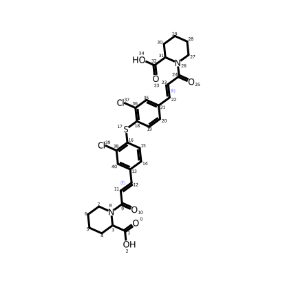 O=C(O)C1CCCCN1C(=O)/C=C/c1ccc(Sc2ccc(/C=C/C(=O)N3CCCCC3C(=O)O)cc2Cl)c(Cl)c1